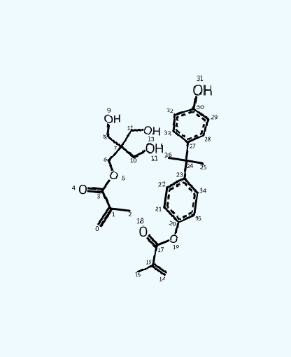 C=C(C)C(=O)OCC(CO)(CO)CO.C=C(C)C(=O)Oc1ccc(C(C)(C)c2ccc(O)cc2)cc1